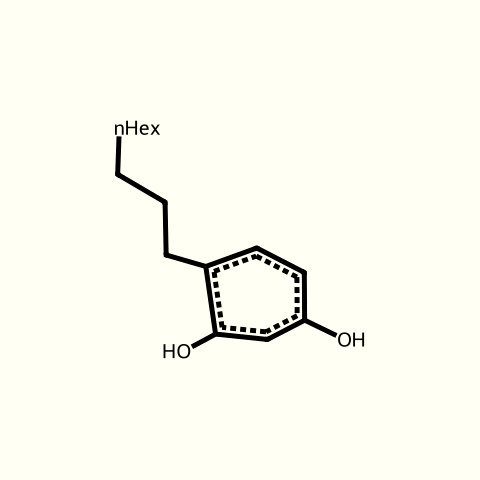 CCCCCCCCCc1ccc(O)cc1O